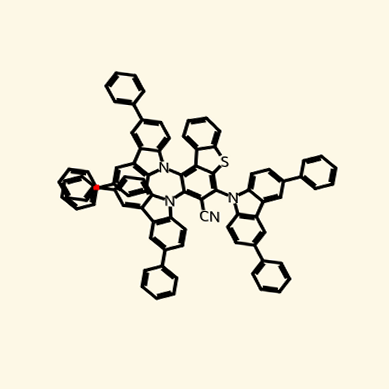 N#Cc1c(-n2c3ccc(-c4ccccc4)cc3c3cc(-c4ccccc4)ccc32)c(-n2c3ccc(-c4ccccc4)cc3c3cc(-c4ccccc4)ccc32)c2c(sc3ccccc32)c1-n1c2ccc(-c3ccccc3)cc2c2cc(-c3ccccc3)ccc21